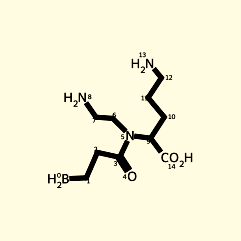 BCCC(=O)N(CCN)C(CCCN)C(=O)O